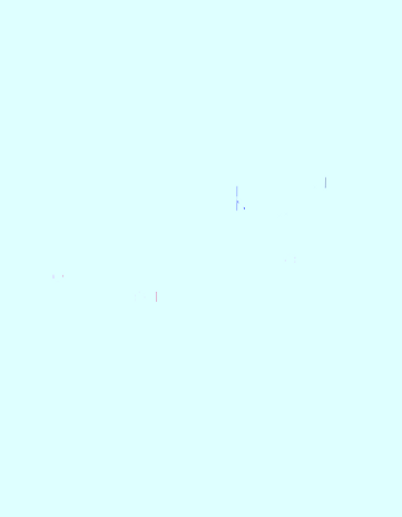 CC(=O)NCCC(O)[C]=O